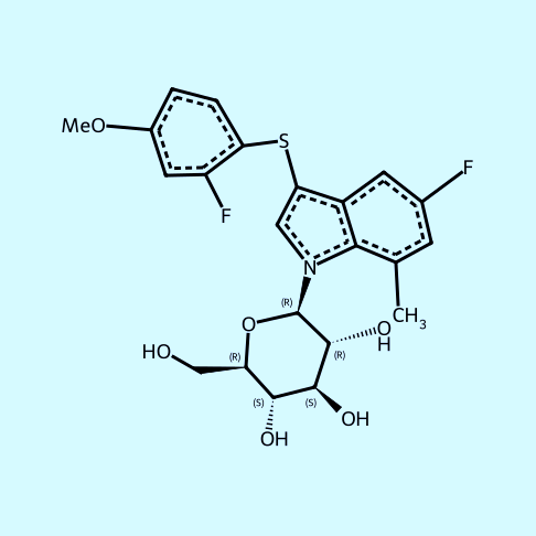 COc1ccc(Sc2cn([C@@H]3O[C@H](CO)[C@@H](O)[C@H](O)[C@H]3O)c3c(C)cc(F)cc23)c(F)c1